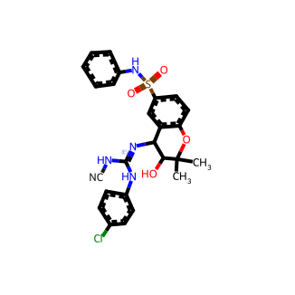 CC1(C)Oc2ccc(S(=O)(=O)Nc3ccccc3)cc2C(/N=C(/NC#N)Nc2ccc(Cl)cc2)C1O